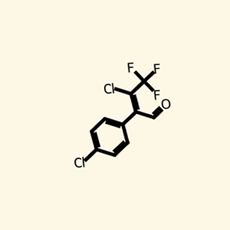 O=CC(=C(Cl)C(F)(F)F)c1ccc(Cl)cc1